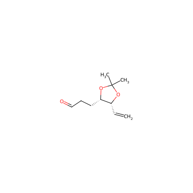 C=C[C@H]1OC(C)(C)O[C@H]1CCC=O